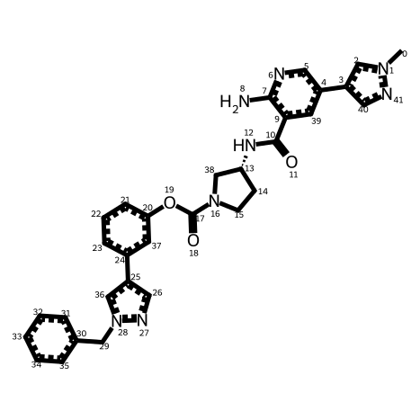 Cn1cc(-c2cnc(N)c(C(=O)N[C@@H]3CCN(C(=O)Oc4cccc(-c5cnn(Cc6ccccc6)c5)c4)C3)c2)cn1